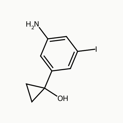 Nc1cc(I)cc(C2(O)CC2)c1